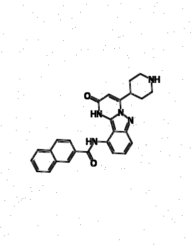 O=C(Nc1cccc2nn3c(C4CCNCC4)cc(=O)[nH]c3c12)c1ccc2ccccc2c1